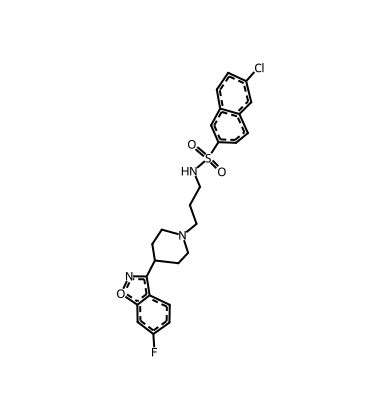 O=S(=O)(NCCCN1CCC(c2noc3cc(F)ccc23)CC1)c1ccc2cc(Cl)ccc2c1